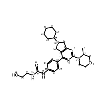 C[C@H]1COCCN1c1nc2c(c(-c3ccc(NC(=O)NCCO)cc3)n1)CN(C1CCCCC1)C2